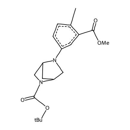 COC(=O)c1cc(N2CC3CC2CN3C(=O)OC(C)(C)C)ccc1C